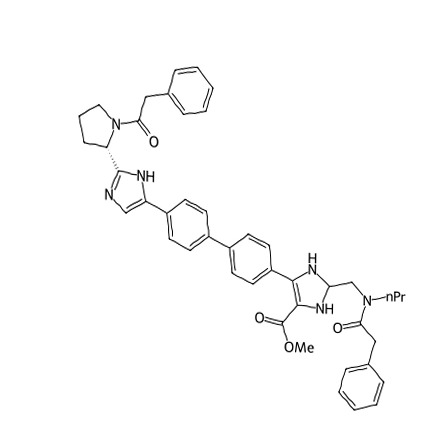 CCCN(CC1NC(C(=O)OC)=C(c2ccc(-c3ccc(-c4cnc([C@@H]5CCCN5C(=O)Cc5ccccc5)[nH]4)cc3)cc2)N1)C(=O)Cc1ccccc1